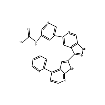 CCCC(=O)Nc1cncc(-c2cc3c(-c4cc5c(-c6ccccn6)ccnc5[nH]4)n[nH]c3cn2)c1